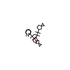 CC(CC(C)(C1CCCC1)C(C)(C)C1CCC2(CC2)C1)(c1ccccn1)C(C)(C)C1CC2(CC2)C1